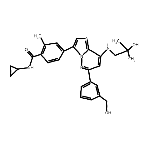 Cc1cc(-c2cnc3c(NCC(C)(C)O)cc(-c4cccc(CO)c4)nn23)ccc1C(=O)NC1CC1